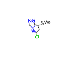 CSc1cc(Cl)nn2cnnc12